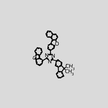 CC1(C)c2ccccc2-c2cc(-c3nc(-c4ccc5c(c4)oc4ccc6ccccc6c45)nc(-c4cccc5oc6ccccc6c45)n3)ccc21